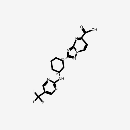 O=C(O)c1ccn2nc([C@H]3CCC[C@@H](Nc4ncc(C(F)(F)F)cn4)C3)nc2n1